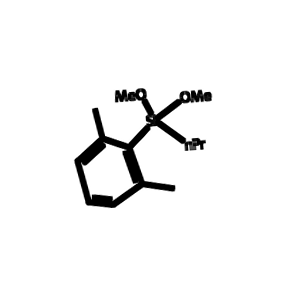 CCC[Si](OC)(OC)c1c(C)cccc1C